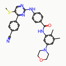 CSc1cnc(Nc2ccc(C(=O)Nc3cc(N4CCOCC4)cc(C)c3C)cc2)nc1-c1ccc(C#N)cc1